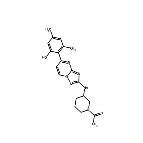 CC(=O)N1CCCC(Nc2nc3nc(-c4c(C)cc(C)cc4O)ccn3n2)C1